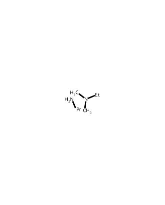 CC(C)N.CCN(C)C